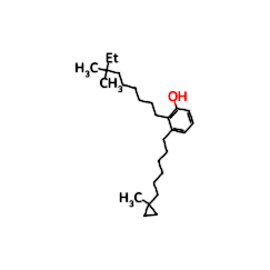 CCC(C)(C)CCCCCCc1c(O)cccc1CCCCCCC1(C)CC1